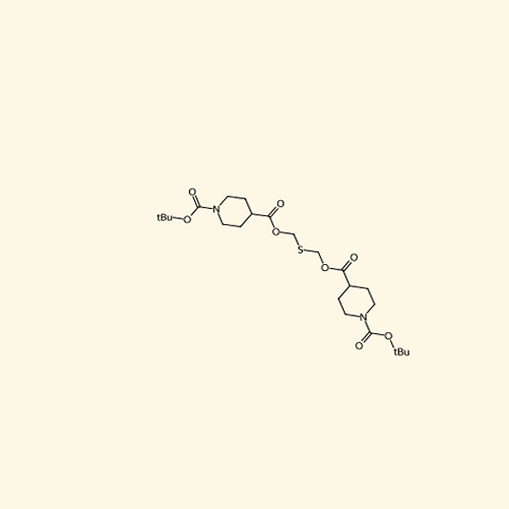 CC(C)(C)OC(=O)N1CCC(C(=O)OCSCOC(=O)C2CCN(C(=O)OC(C)(C)C)CC2)CC1